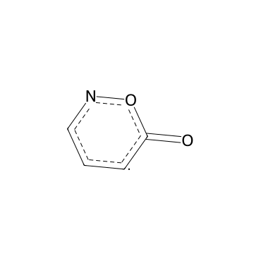 O=c1[c]ccno1